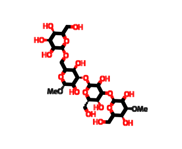 CO[C@@H]1OC(CO[C@@H]2OC(CO)[C@@H](O)[C@H](O)C2O)[C@@H](O)[C@H](O[C@@H]2O[C@@H](CO)[C@@H](O)C(O[C@@H]3OC(CO)[C@@H](O)[C@H](OC)C3O)C2O)C1O